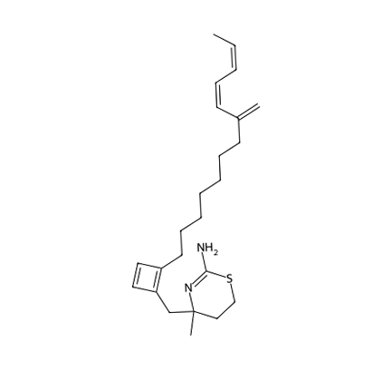 C=C(/C=C\C=C/C)CCCCCCCC1=C(CC2(C)CCSC(N)=N2)C=C1